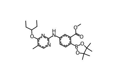 CCC(CC)Oc1nc(Nc2ccc(B3OC(C)(C)C(C)(C)O3)c(C(=O)OC)c2)ncc1C